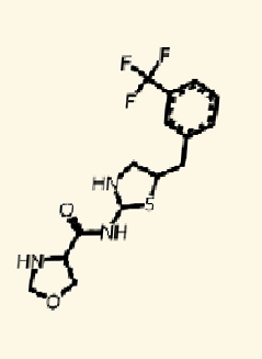 O=C(NC1NCC(Cc2cccc(C(F)(F)F)c2)S1)C1COCN1